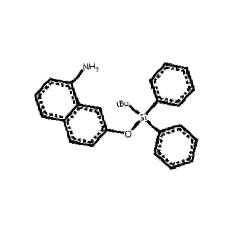 CC(C)(C)[Si](Oc1ccc2cccc(N)c2c1)(c1ccccc1)c1ccccc1